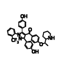 CC(Oc1ccc(C(=O)c2c(-c3ccc(O)cc3)nn(-c3ccccc3C(F)(F)F)c2-c2ccc(O)cc2)cc1)C1CCCCN1